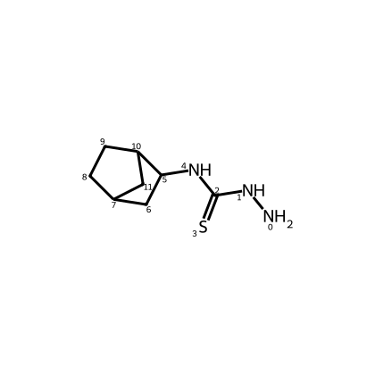 NNC(=S)NC1CC2CCC1C2